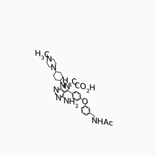 CC(=O)NCc1cccc(Oc2ccc(-c3nn(C4CCC(N5CCN(C)CC5)CC4)c4ncnc(N)c34)cc2)c1.CC(=O)O